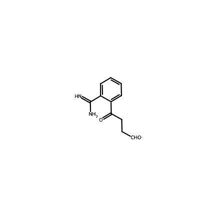 N=C(N)c1ccccc1C(=O)CC[C]=O